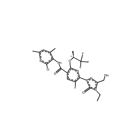 CCn1c(CO)nn(-c2nc(O[C@@H](C)C(F)(F)F)c(C(=O)Nc3c(C)cc(C)nc3Cl)cc2F)c1=O